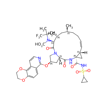 C[C@H]1CCC=C[C@@H]2C[C@@]2(C(=O)NS(=O)(=O)C2CC2)NC(=O)[C@@H]2C[C@@H](Oc3nccc4c5c(ccc34)OCCO5)CN2C(=O)[C@@H](N(C(=O)O)C(C)(C)C(F)(F)F)[C@H](C)C1